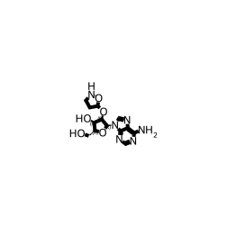 Nc1ncnc2c1ncn2[C@@H]1O[C@H](CO)[C@@H](O)[C@H]1OC1CCNO1